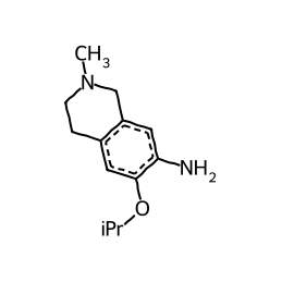 CC(C)Oc1cc2c(cc1N)CN(C)CC2